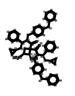 O=C(O)[C@H]1CC(C(=O)N(Cc2ccc(Oc3ccccc3)cc2)[C@@H](CC2CC2)c2ccccc2)(C(=O)N(Cc2ccc(Oc3ccccc3)cc2)[C@@H](CC2CC2)c2ccccc2)[C@@H]1C(=O)O